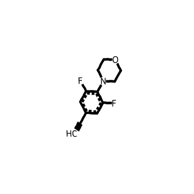 C#Cc1cc(F)c(N2CCOCC2)c(F)c1